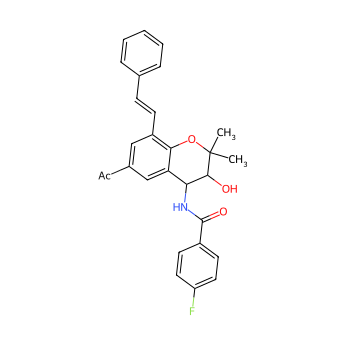 CC(=O)c1cc(/C=C/c2ccccc2)c2c(c1)C(NC(=O)c1ccc(F)cc1)C(O)C(C)(C)O2